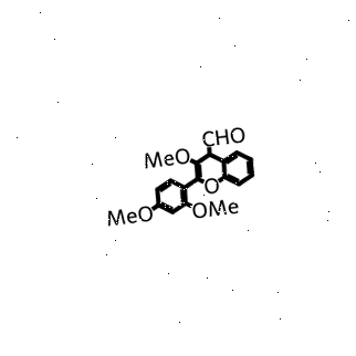 COC1=C(c2ccc(OC)cc2OC)Oc2ccccc2C1C=O